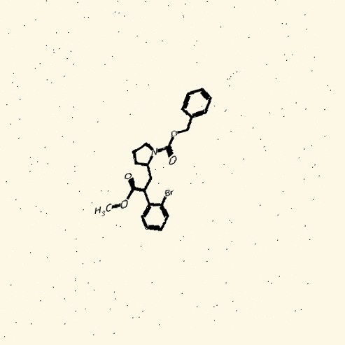 COC(=O)C(CC1CCCN1C(=O)OCc1ccccc1)c1ccccc1Br